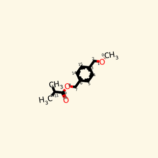 COCc1ccc(COC(=O)C(C)C)cc1